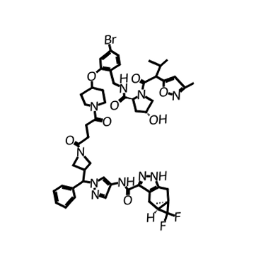 Cc1cc(C(C(=O)N2C[C@H](O)C[C@H]2C(=O)NCc2ccc(Br)cc2OC2CCN(C(=O)CCC(=O)N3CC(C(c4ccccc4)n4cc(NC(=O)c5n[nH]c6c5C[C@@H]5C(F)(F)[C@]5(C)C6)cn4)C3)CC2)C(C)C)on1